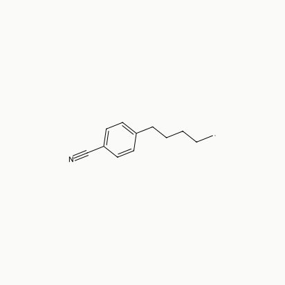 [CH2]CCCCc1ccc(C#N)cc1